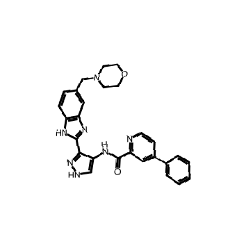 O=C(Nc1c[nH]nc1-c1nc2cc(CN3CCOCC3)ccc2[nH]1)c1cc(-c2ccccc2)ccn1